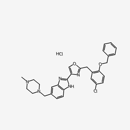 CN1CCN(Cc2ccc3[nH]c(-c4coc(Cc5cc(Cl)ccc5OCc5ccccc5)n4)nc3c2)CC1.Cl